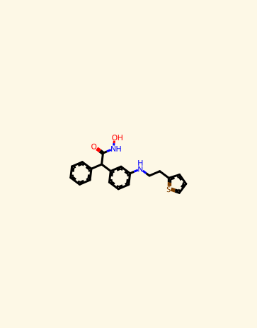 O=C(NO)C(c1ccccc1)c1cccc(NCCc2cccs2)c1